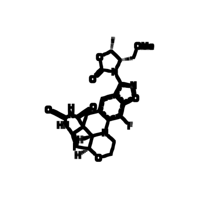 COC[C@H]1[C@@H](C)OC(=O)N1c1noc2c(F)c3c(cc12)CC12C(=O)NC(=O)NC1=P[C@@H]1OCCN3[C@H]12